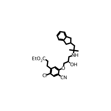 CCOC(=O)CCc1cc(OC[C@H](O)CNC(C)(C)CC2Cc3ccccc3C2)c(C#N)cc1Cl